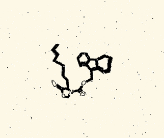 C=CCCCCCC1C(=O)OCN1C(=O)OCC1c2ccccc2-c2ccccc21